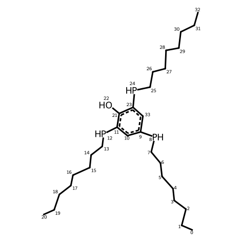 CCCCCCCCPc1cc(PCCCCCCCC)c(O)c(PCCCCCCCC)c1